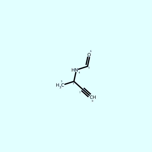 C#CC(C)NC=O